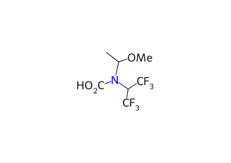 COC(C)N(C(=O)O)C(C(F)(F)F)C(F)(F)F